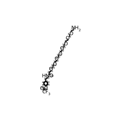 NCCOCCOCCOCCOCCOCCOCCOCCOCCC(=O)NCCc1ccc(OC(=O)C(F)(F)F)cc1